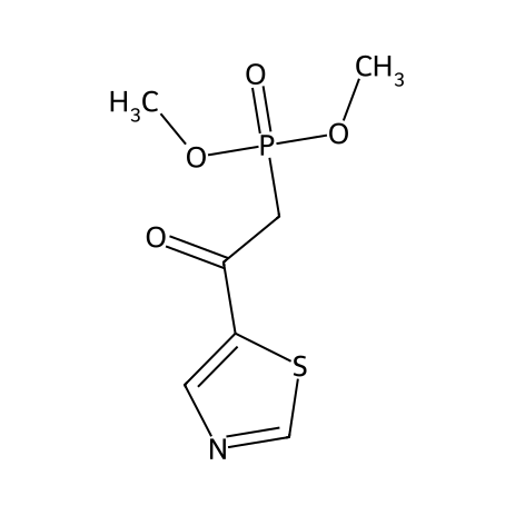 COP(=O)(CC(=O)c1cncs1)OC